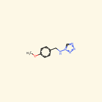 COc1ccc(CNn2cnnn2)cc1